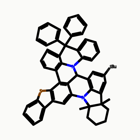 CC(C)(C)c1cc2c3c(c1)C1(C)CCCCC1(C)N3c1cc3c(sc4ccccc43)c3c1C2N1c2ccccc2C(c2ccccc2)(c2ccccc2)c2cccc-3c21